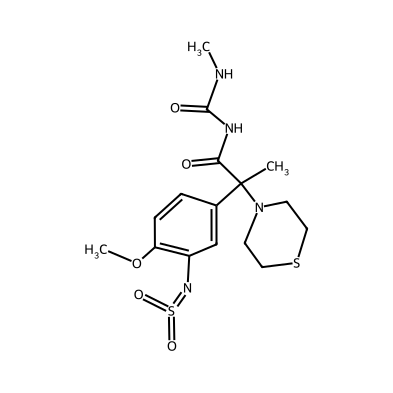 CNC(=O)NC(=O)C(C)(c1ccc(OC)c(N=S(=O)=O)c1)N1CCSCC1